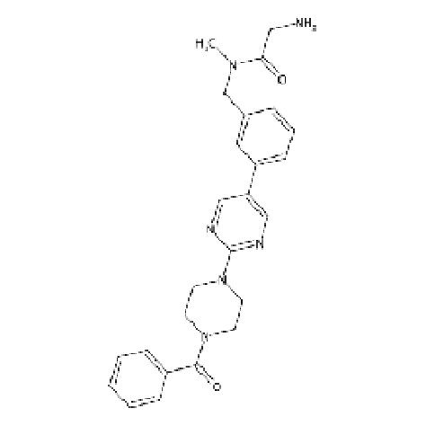 CN(Cc1cccc(-c2cnc(N3CCN(C(=O)c4ccccc4)CC3)nc2)c1)C(=O)CN